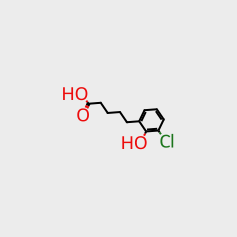 O=C(O)CCCCc1cccc(Cl)c1O